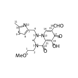 COCCN1CN(Cc2csc(C)n2)n2cc(C=O)c(=O)c(O)c2C1=O